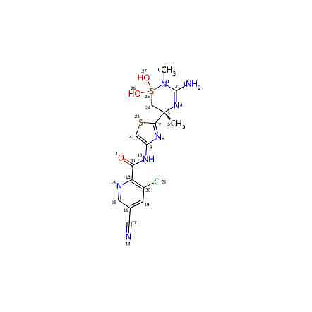 CN1C(N)=N[C@](C)(c2nc(NC(=O)c3ncc(C#N)cc3Cl)cs2)CS1(O)O